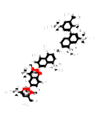 Nc1c(N=Nc2ccc3c(O)c(/N=N\c4ccc(S(N)(=O)=O)cc4C(=O)O)c(S(=O)(=O)O)cc3c2S(=O)(=O)O)cc(S(=O)(=O)O)c2cc(S(=O)(=O)O)c(/N=N\c3ccc4c(O)c(/N=N\c5ccc(S(N)(=O)=O)cc5C(=O)O)c(S(=O)(=O)O)cc4c3S(=O)(=O)O)c(O)c12